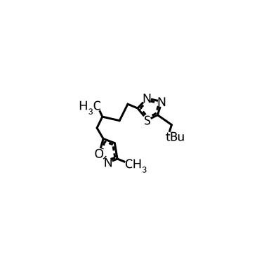 Cc1cc(CC(C)CCc2nnc(CC(C)(C)C)s2)on1